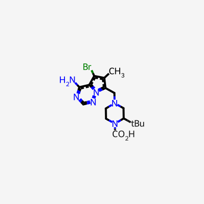 Cc1c(Br)c2c(N)ncnn2c1CN1CCN(C(=O)O)C(C(C)(C)C)C1